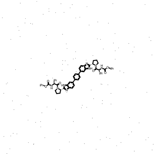 CC(C)OC(=O)N[C@H](C(=O)N1CCC[C@H]1c1nc2ccc(-c3ccc(-c4ccc5nc([C@@H]6CCCN6C(=O)[C@@H](NC(=O)OC(C)C)C(C)C)[nH]c5c4)cc3)cc2[nH]1)C(C)C